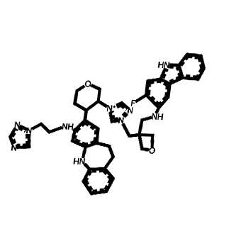 Fc1cc2[nH]c3ccccc3c2cc1NCC1(Cn2c[n+](C3COCCC3c3cc4c(cc3NCCn3cncn3)Nc3ccccc3CC4)cn2)COC1